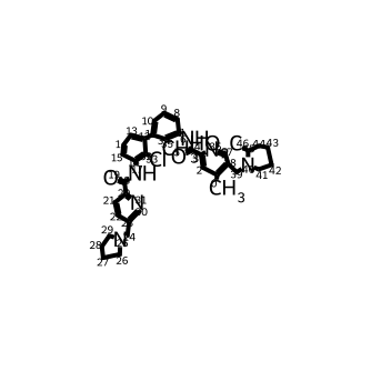 Cc1cc(C(=O)Nc2cccc(-c3cccc(NC(=O)c4ccc(CN5CCCC5)cn4)c3Cl)c2C)ncc1CN1CCCCC1C(=O)O